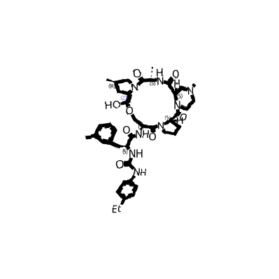 CCc1ccc(NC(=O)N[C@@H](Cc2cccc(C)c2)C(=O)N[C@H]2CO/C(O)=C3/C[C@@H](C)CN3C(=O)[C@H](C)NC(=O)[C@@H]3CN(C)CCN3C(=O)[C@@H]3CCCN3C2=O)cc1